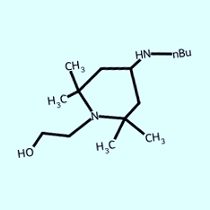 CCCCNC1CC(C)(C)N(CCO)C(C)(C)C1